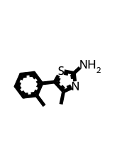 Cc1ccccc1-c1sc(N)nc1C